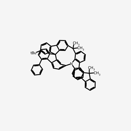 CC(C)(C)c1ccc2c(c1)C13c4cc(ccc4-2)C(C)(C)c2cccc(-c4ccccc4)c2N(c2ccc4c(c2)C(C)(C)c2ccccc2-4)c2ccc(c1c2)-c1c(-c2ccccc2)cccc13